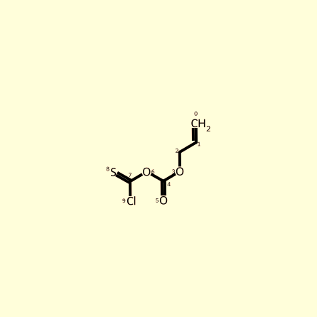 C=CCOC(=O)OC(=S)Cl